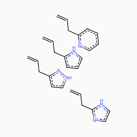 C=CCc1cc[nH]n1.C=CCc1ccc[nH]1.C=CCc1ccccn1.C=CCc1ncc[nH]1